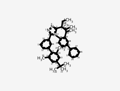 CCC(CC)c1nnc(-c2cccc(-c3c(C)cc(C(C)(C)C)cc3C)c2)n1-c1ccc(-c2ccccc2)cc1C(C)C